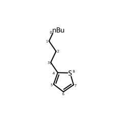 CCCCCC[CH]c1cccs1